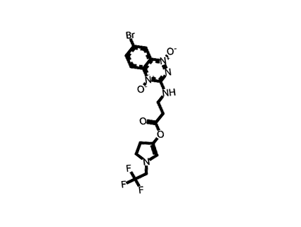 O=C(CCNc1n[n+]([O-])c2cc(Br)ccc2[n+]1[O-])OC1=CN(CC(F)(F)F)CC1